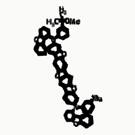 COC(C)(C)c1cccc(N(c2ccc3c(c2)oc2cc4c(cc23)oc2cc3c(cc24)oc2cc(N(C4=CCCc5oc6ccccc6c54)c4cccc(C(C)(C)C)c4)ccc23)c2cccc3oc4ccccc4c23)c1